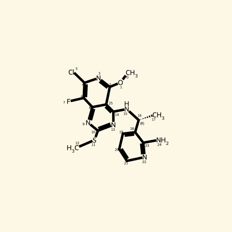 COc1nc(Cl)c(F)c2nc(SC)nc(N[C@H](C)c3cccnc3N)c12